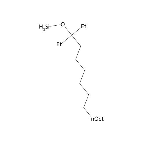 CCCCCCCCCCCCCCC(CC)(CC)O[SiH3]